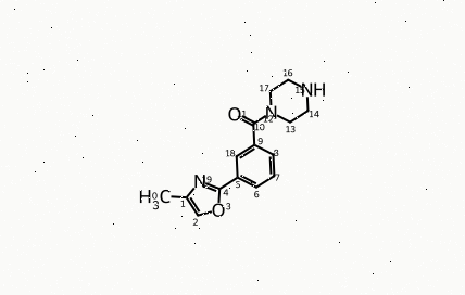 Cc1coc(-c2cccc(C(=O)N3CCNCC3)c2)n1